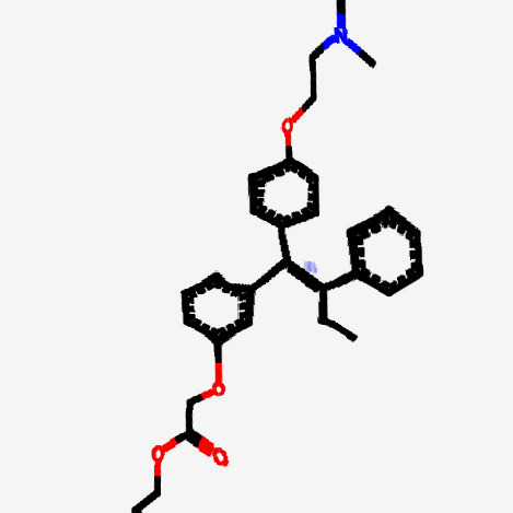 CCOC(=O)COc1cccc(/C(=C(\CC)c2ccccc2)c2ccc(OCCN(C)C)cc2)c1